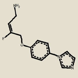 NC/C=C(/F)COc1ccc(-n2ccnc2)cc1